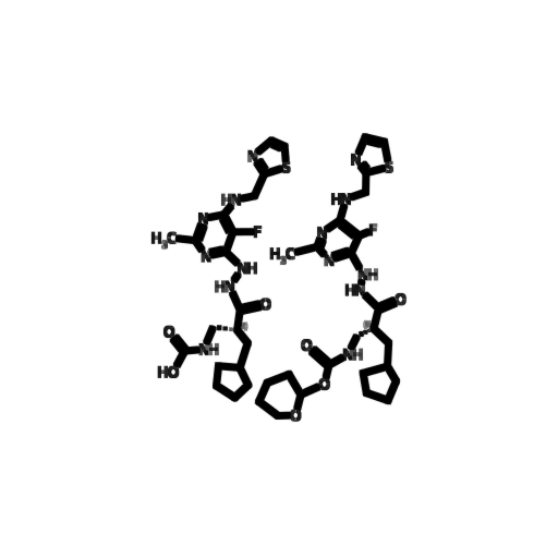 Cc1nc(NCc2nccs2)c(F)c(NNC(=O)[C@@H](CNC(=O)O)CC2CCCC2)n1.Cc1nc(NCc2nccs2)c(F)c(NNC(=O)[C@@H](CNC(=O)OC2CCCCO2)CC2CCCC2)n1